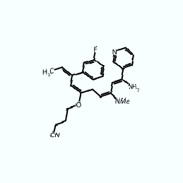 C/C=C(\C=C(/C/C=C(\C=C(/N)c1cccnc1)NC)OCCCC#N)c1cccc(F)c1